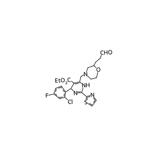 CCOC(=O)C1=C(CN2CCOC(CCC=O)C2)NC(c2nccs2)=NC1c1ccc(F)cc1Cl